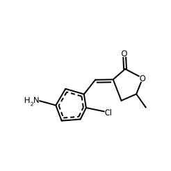 CC1CC(=Cc2cc(N)ccc2Cl)C(=O)O1